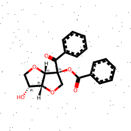 O=C(O[C@@]1(C(=O)c2ccccc2)CO[C@@H]2[C@H](O)CO[C@@H]21)c1ccccc1